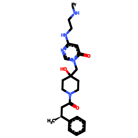 CC(C)NCCNc1cc(=O)n(CC2(O)CCN(C(=O)C[C@@H](C)c3ccccc3)CC2)cn1